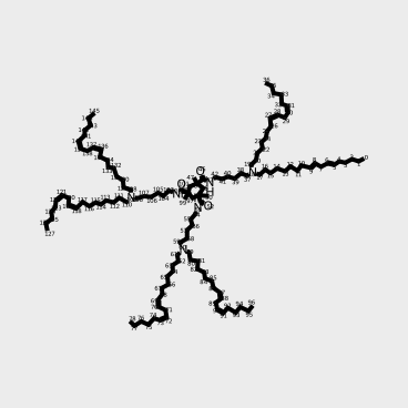 CCCCCC=CCC=CCCCCCCCCN(CCCCCCCC/C=C\C/C=C\CCCCC)CCCCCCNC(=O)C1(C)CC(C)(C(=O)NCCCCCCN(CCCCCCCC/C=C\C/C=C\CCCCC)CCCCCCCC/C=C\C/C=C\CCCCC)CC(C)(C(=O)NCCCCCCN(CCCCCCCC/C=C\C/C=C\CCCCC)CCCCCCCC/C=C\C/C=C\CCCCC)C1